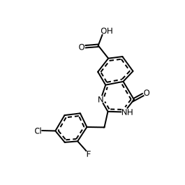 O=C(O)c1ccc2c(=O)[nH]c(Cc3ccc(Cl)cc3F)nc2c1